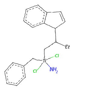 CCC([CH2][Ti]([NH2])([Cl])([Cl])[CH2]c1ccccc1)C1C=Cc2ccccc21